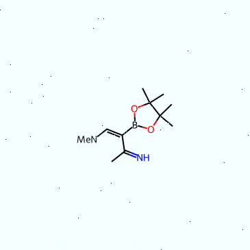 CN/C=C(/B1OC(C)(C)C(C)(C)O1)C(C)=N